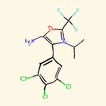 CC(C)[n+]1c(C(F)(F)F)oc(N)c1-c1cc(Cl)c(Cl)c(Cl)c1